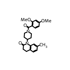 COc1ccc(C(=O)N2CCC(N3C(=O)CCc4ccc(C)cc43)CC2)c(OC)c1